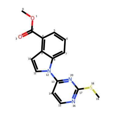 COC(=O)c1cccc2c1ccn2-c1ccnc(SC)n1